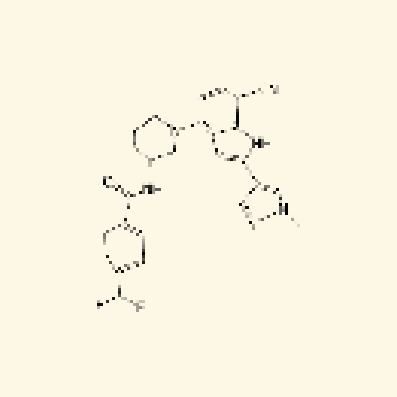 Cn1cc(-c2cc3c(N4CCCC(NC(=O)c5ccc(C(F)F)cc5)C4)ccc(C#N)c3[nH]2)cn1